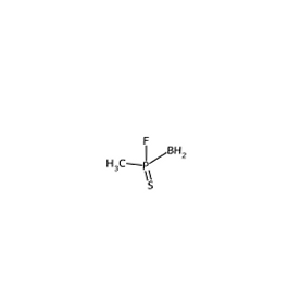 BP(C)(F)=S